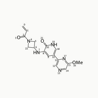 C=CC(=O)N1CC(Nc2cc(-c3cncc(OC)n3)c[nH]c2=O)C1